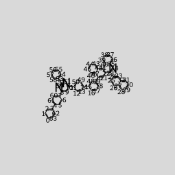 c1ccc(-c2ccc(-c3cc(-c4ccc(-c5cccc(-c6cc7c(-c8ccc9ccccc9c8)nc8ccccc8c7c7ccccc67)c5)cc4)nc(-c4ccccc4)n3)cc2)cc1